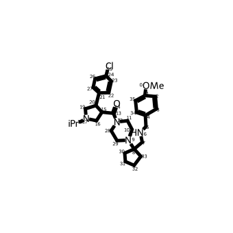 COc1ccc(CNCC2(N3CCN(C(=O)C4CN(C(C)C)CC4c4ccc(Cl)cc4)CC3)CCCC2)cc1